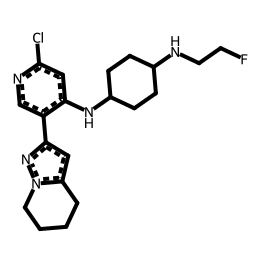 FCCNC1CCC(Nc2cc(Cl)ncc2-c2cc3n(n2)CCCC3)CC1